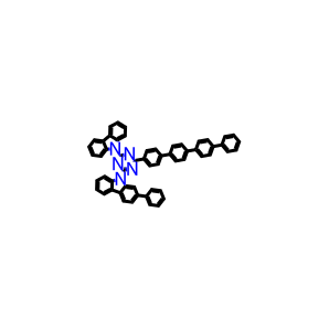 c1ccc(-c2ccc(-c3ccc(-c4ccc(-c5nc(-n6c7ccccc7c7ccccc76)nc(-n6c7ccccc7c7ccc(-c8ccccc8)cc76)n5)cc4)cc3)cc2)cc1